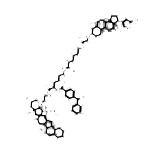 CC1=C2C[C@H]3[C@@H](CC=C4C[C@@H](O)CC[C@@]43C)[C@@H]2CCC12C[C@@H]1C[C@H](C)CN(CCNC(=O)C(CCCCNC(=O)CCCCCNC(=O)CO[C@H]3CC[C@@]4(C)[C@H](CC[C@@H]5[C@@H]4CC(O)[C@]4(C)[C@@H](C6=CC(=O)OC6)CC[C@]54O)C3)NC(=O)c3ccc(C(=O)c4ccccc4)cc3)[C@H]1[C@H]2C